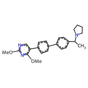 COc1ncc(-c2ccc(-c3ccc(C(C)N4CCCC4)cc3)cc2)c(OC)n1